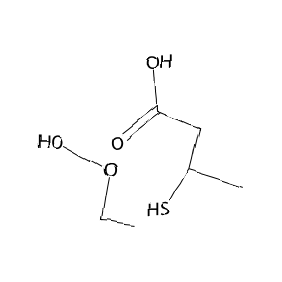 CC(S)CC(=O)O.CCOO